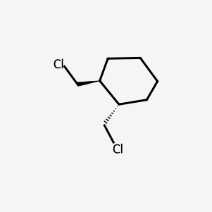 ClC[C@H]1CCCC[C@@H]1CCl